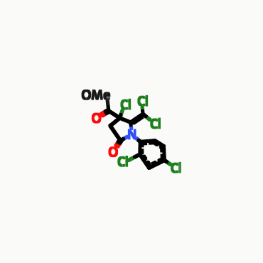 COC(=O)C1(Cl)CC(=O)N(c2ccc(Cl)cc2Cl)C1=C(Cl)Cl